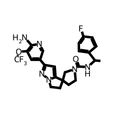 CC(NC(=O)N1CCC2(CCn3nc(-c4cnc(N)c(OC(F)(F)F)c4)cc32)C1)c1ccc(F)cc1